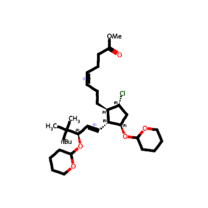 CCCCC(C)(C)[C@@H](/C=C/[C@@H]1[C@@H](CC/C=C\CCC(=O)OC)[C@H](Cl)C[C@H]1OC1CCCCO1)OC1CCCCO1